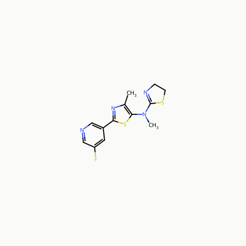 Cc1nc(-c2cncc(F)c2)sc1N(C)C1=NCCS1